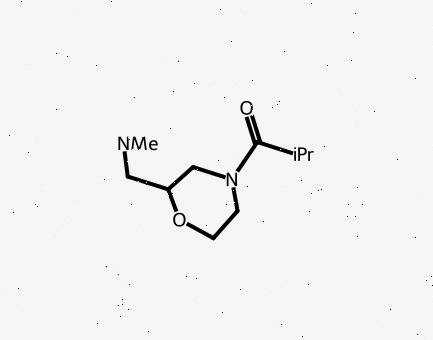 CNCC1CN(C(=O)C(C)C)CCO1